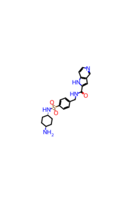 N[C@H]1CC[C@H](NS(=O)(=O)c2ccc(CNC(=O)c3cc4cnccc4[nH]3)cc2)CC1